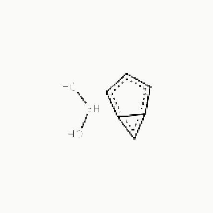 OBO.c1cc2cc-2c1